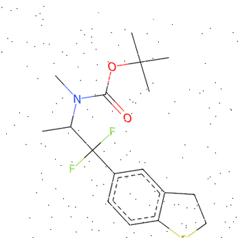 CC(N(C)C(=O)OC(C)(C)C)C(F)(F)c1ccc2c(c1)CCS2